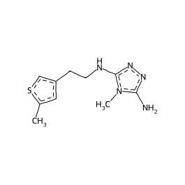 Cc1cc(CCNc2nnc(N)n2C)cs1